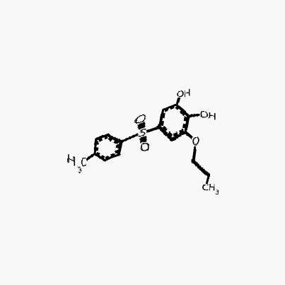 CCCOc1cc(S(=O)(=O)c2ccc(C)cc2)cc(O)c1O